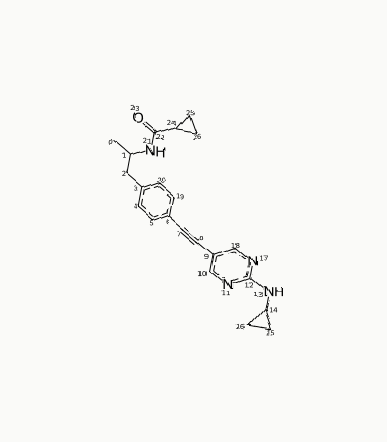 CC(Cc1ccc(C#Cc2cnc(NC3CC3)nc2)cc1)NC(=O)C1CC1